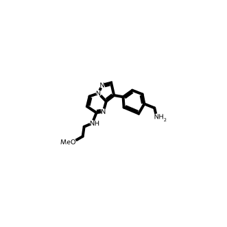 COCCNc1ccn2ncc(-c3ccc(CN)cc3)c2n1